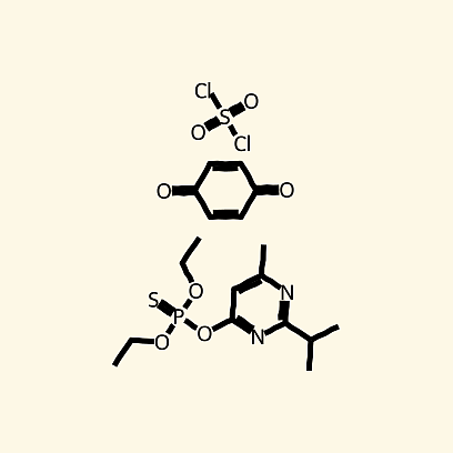 CCOP(=S)(OCC)Oc1cc(C)nc(C(C)C)n1.O=C1C=CC(=O)C=C1.O=S(=O)(Cl)Cl